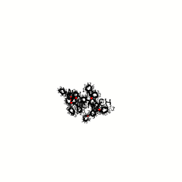 Cc1c2ccc(-c3c(-n4c5ccccc5c5ccccc54)cc(-c4ccc5nc6n(-c7ccccc7)c7ccc(-c8ccccc8)cc7n6c5c4)c(-n4c5ccccc5c5ccccc54)c3C#N)cc2n2c3cc(-c4ccccc4)ccc3n(-c3ccccc3)c12